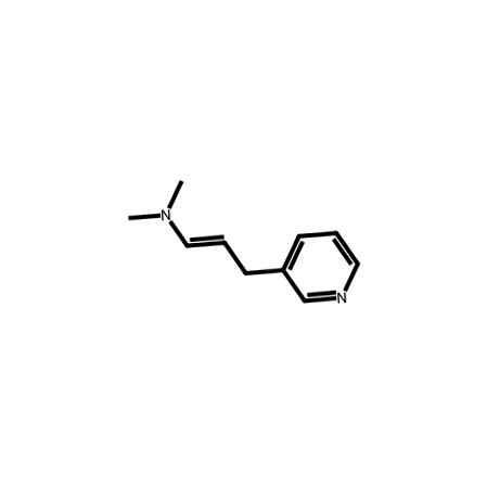 CN(C)C=CCc1cccnc1